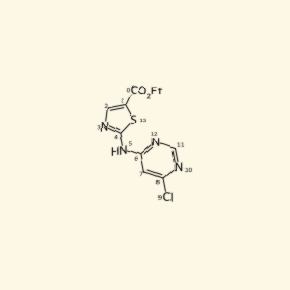 CCOC(=O)c1cnc(Nc2cc(Cl)ncn2)s1